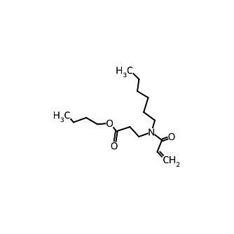 C=CC(=O)N(CCCCCC)CCC(=O)OCCCC